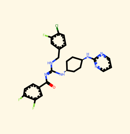 O=C(/N=C(/NCc1ccc(Cl)c(F)c1)N[C@H]1CC[C@H](Nc2ncccn2)CC1)c1ccc(F)c(F)c1